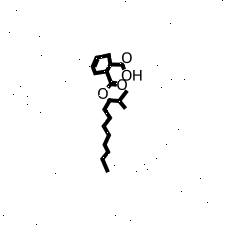 CCCCCCCCC(OC(=O)C1CC=CCC1C(=O)O)C(C)C